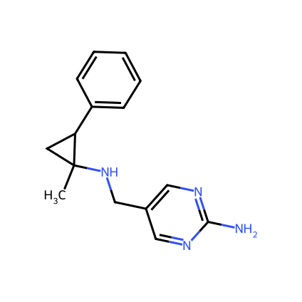 CC1(NCc2cnc(N)nc2)CC1c1ccccc1